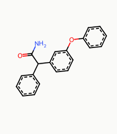 NC(=O)C(c1ccccc1)c1cccc(Oc2ccccc2)c1